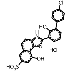 Cl.O=S(=O)(O)c1cc(O)c2c(ccc3[nH]c(-c4cccc(-c5ccc(Cl)cc5)c4O)nc32)c1